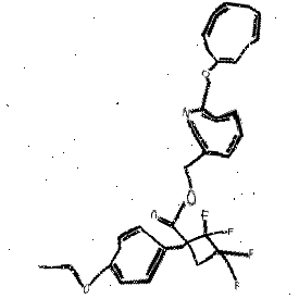 CCOc1ccc(C2(C(=O)OCc3cccc(Oc4ccccc4)n3)CC(F)(F)C2(F)F)cc1